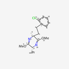 COC1=N[C@@](C)(CCc2ccccc2Cl)C(OC)=N[C@@H]1C(C)C